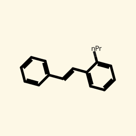 [CH2]CCc1ccccc1C=Cc1ccccc1